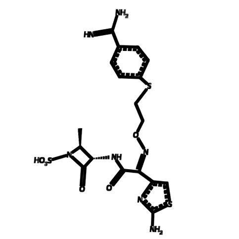 C[C@H]1[C@H](NC(=O)/C(=N\OCCSc2ccc(C(=N)N)cc2)c2csc(N)n2)C(=O)N1S(=O)(=O)O